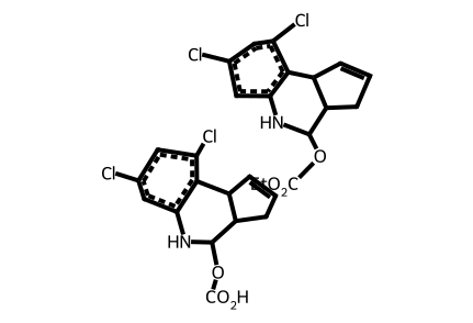 CCOC(=O)OC1Nc2cc(Cl)cc(Cl)c2C2C=CCC12.O=C(O)OC1Nc2cc(Cl)cc(Cl)c2C2C=CCC12